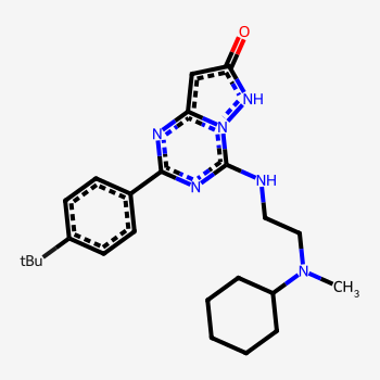 CN(CCNc1nc(-c2ccc(C(C)(C)C)cc2)nc2cc(=O)[nH]n12)C1CCCCC1